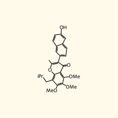 COc1c(OC)c(OC)c2c(=O)c(-c3ccc4cc(O)ccc4c3)c(C)oc2c1CC(C)C